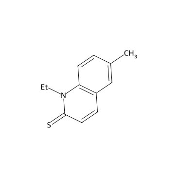 CCn1c(=S)ccc2cc(C)ccc21